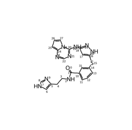 O=C(NCCc1c[nH]cn1)c1cccc(Sc2cc(Nc3ncnc4cccn34)n[nH]2)c1